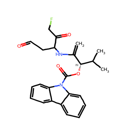 C=C(NC(CC=O)C(=O)CF)[C@@H](OC(=O)n1c2ccccc2c2ccccc21)C(C)C